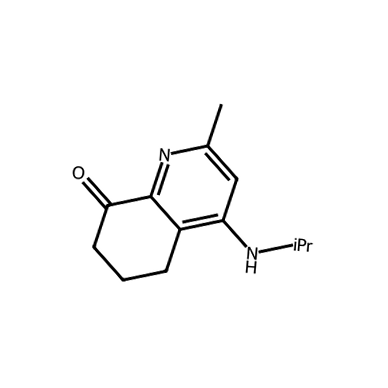 Cc1cc(NC(C)C)c2c(n1)C(=O)CCC2